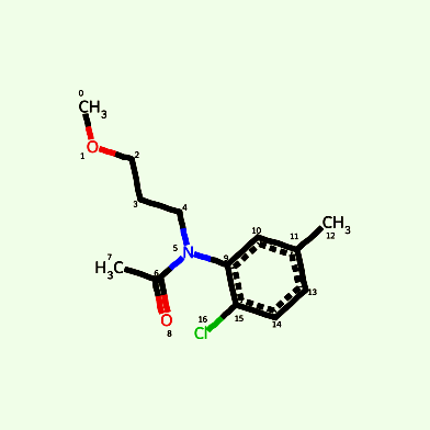 COCCCN(C(C)=O)c1cc(C)ccc1Cl